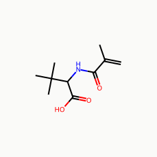 C=C(C)C(=O)NC(C(=O)O)C(C)(C)C